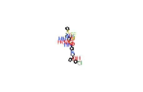 O=C(O)NCCC(CSc1ccccc1)Nc1ccc(S(=O)(=O)NC(=O)c2ccc(N3CCC([C@H](O)c4ccccc4-c4ccc(Cl)cc4)CC3)cc2)cc1S(=O)(=O)C(F)(F)F